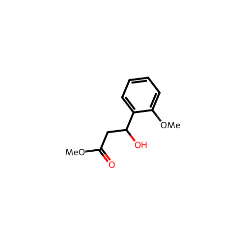 COC(=O)CC(O)c1ccccc1OC